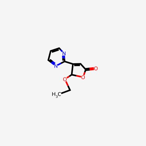 CCOC1OC(=O)C=C1c1ncccn1